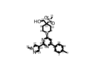 Cc1ccc(-c2cc(N3CCC(CO)(S(C)(=O)=O)CC3)nc(-c3cnn(C)c3)n2)cc1